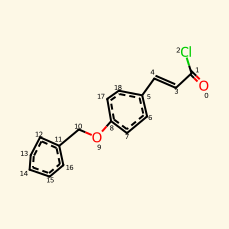 O=C(Cl)/C=C/c1ccc(OCc2ccccc2)cc1